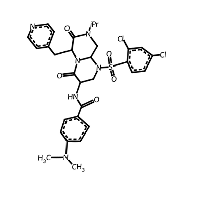 CC(C)N1CC2N(C(=O)C(NC(=O)c3ccc(N(C)C)cc3)CN2S(=O)(=O)c2ccc(Cl)cc2Cl)C(Cc2ccncc2)C1=O